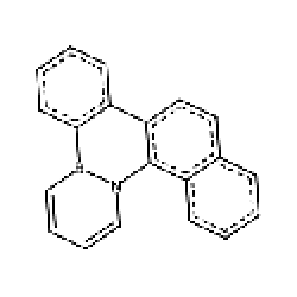 C1=CB2c3ccccc3-c3ccc4ccccc4c3N2C=C1